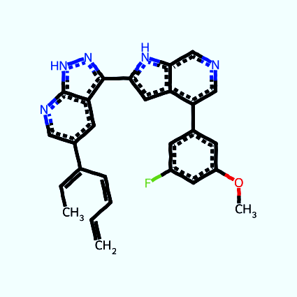 C=C/C=C\C(=C/C)c1cnc2[nH]nc(-c3cc4c(-c5cc(F)cc(OC)c5)cncc4[nH]3)c2c1